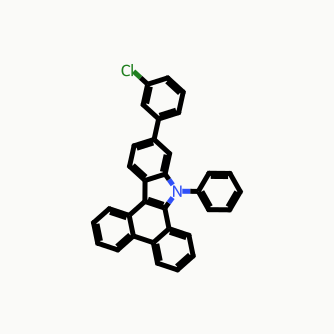 Clc1cccc(-c2ccc3c4c5ccccc5c5ccccc5c4n(-c4ccccc4)c3c2)c1